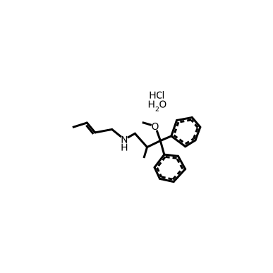 C/C=C/CNCC(C)C(OC)(c1ccccc1)c1ccccc1.Cl.O